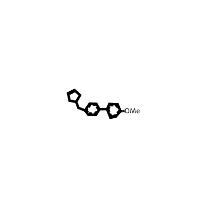 COc1ccc(-c2ccc(CC3CC=CC3)cc2)cc1